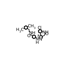 Cc1ccc(C)c(CCNC(=O)c2ccc(Nc3ncc4c(n3)-c3ccc(Cl)cc3NC(=O)C4)cc2)c1